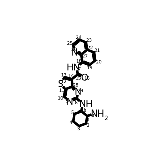 NC1CCCCC1Nc1ncc2scc(C(=O)Nc3cccc4cccnc34)c2n1